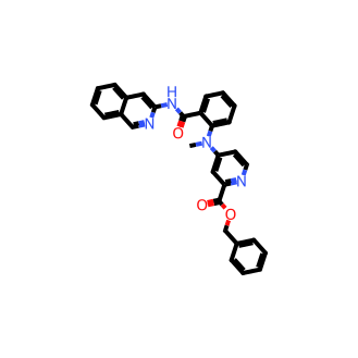 CN(c1ccnc(C(=O)OCc2ccccc2)c1)c1ccccc1C(=O)Nc1cc2ccccc2cn1